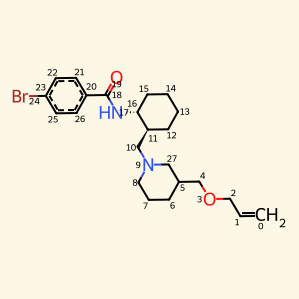 C=CCOCC1CCCN(C[C@@H]2CCCC[C@H]2NC(=O)c2ccc(Br)cc2)C1